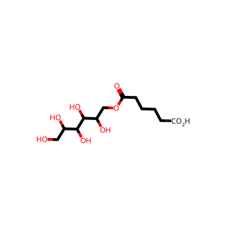 O=C(O)CCCCC(=O)OCC(O)C(O)C(O)C(O)CO